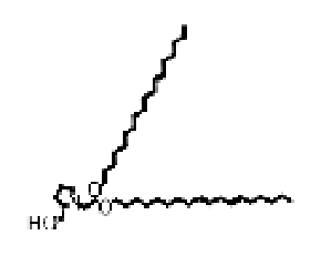 CCCCCC=CCC=CCCCCCCCCOC(CN1CCC[C@@H]1CO)OCCCCCCCCC=CCC=CCCCCC